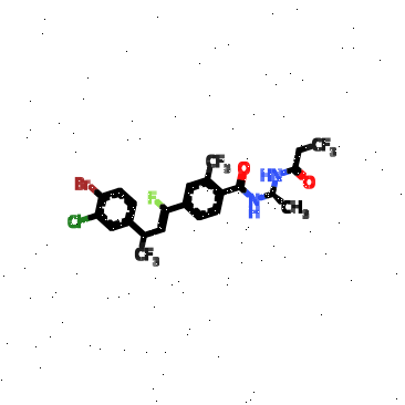 C[C@H](NC(=O)CC(F)(F)F)NC(=O)c1ccc(/C(F)=C/C(c2ccc(Br)c(Cl)c2)C(F)(F)F)cc1C(F)(F)F